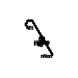 CC/C=C\C/C=C\C/C=C\C/C=C\CCCCCCCCCCCCC(=O)OC(COC(=O)CCCCCCC/C=C\CCCCCCCCC)COP(=O)(O)OCC